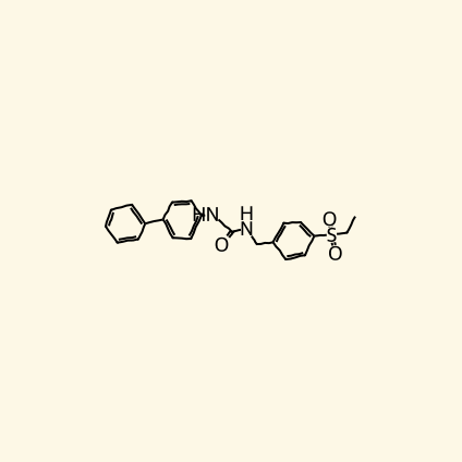 CCS(=O)(=O)c1ccc(CNC(=O)Nc2ccc(-c3ccccc3)cc2)cc1